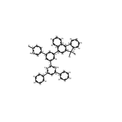 Cc1ccc(-c2cc(-c3nc(-c4ccccc4)cc(-c4ccccc4)n3)cc(-c3cc4c(c5ccccc35)-c3ccccc3C4(C)C)c2)cn1